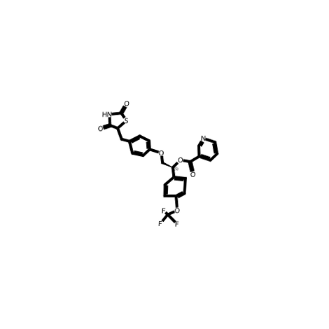 O=C1NC(=O)C(Cc2ccc(OC[C@@H](OC(=O)c3cccnc3)c3ccc(OC(F)(F)F)cc3)cc2)S1